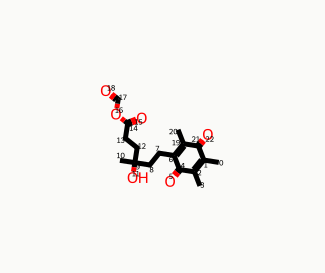 CC1=C(C)C(=O)C(CCC(C)(O)CCC(=O)OC=O)=C(C)C1=O